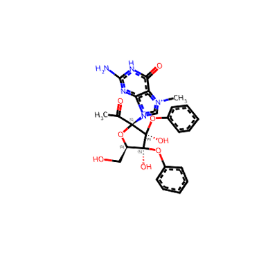 CC(=O)[C@@]1(n2c[n+](C)c3c(=O)[nH]c(N)nc32)O[C@H](CO)[C@](O)(Oc2ccccc2)[C@]1(O)Oc1ccccc1